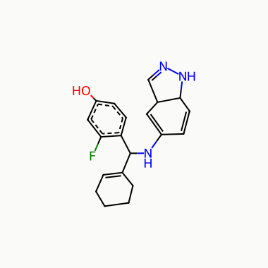 Oc1ccc(C(NC2=CC3C=NNC3C=C2)C2=CCCCC2)c(F)c1